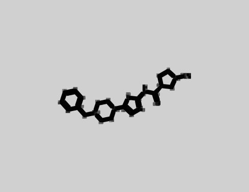 N#CN1CC[C@H](C(=O)Nc2ncc(N3CCN(Cc4ccccc4)CC3)s2)C1